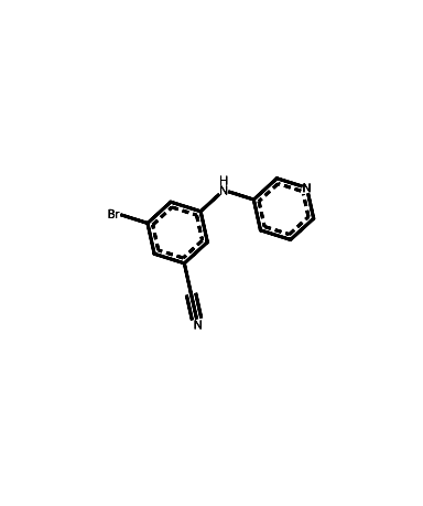 N#Cc1cc(Br)cc(Nc2cccnc2)c1